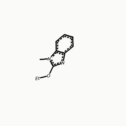 CCOc1nc2ccccc2n1C